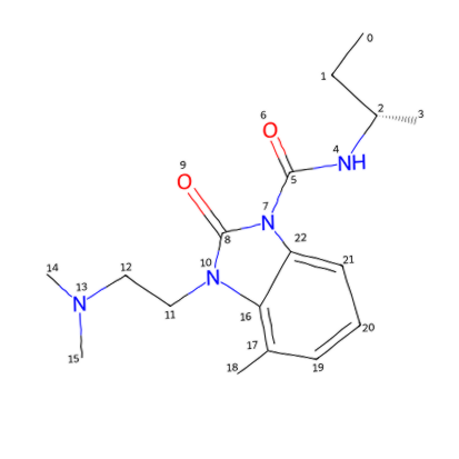 CC[C@H](C)NC(=O)n1c(=O)n(CCN(C)C)c2c(C)cccc21